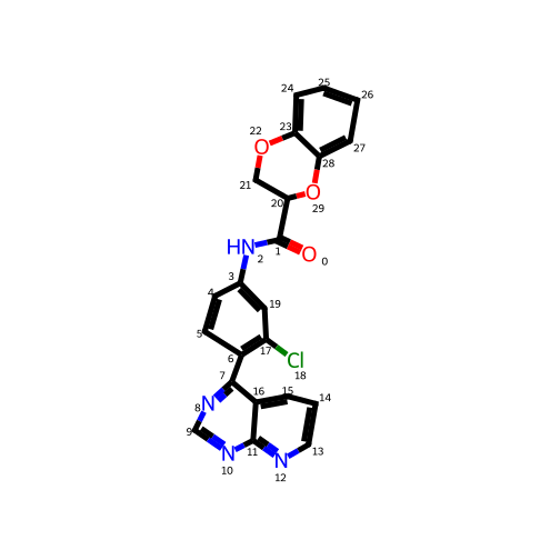 O=C(Nc1ccc(-c2ncnc3ncccc23)c(Cl)c1)C1COc2ccccc2O1